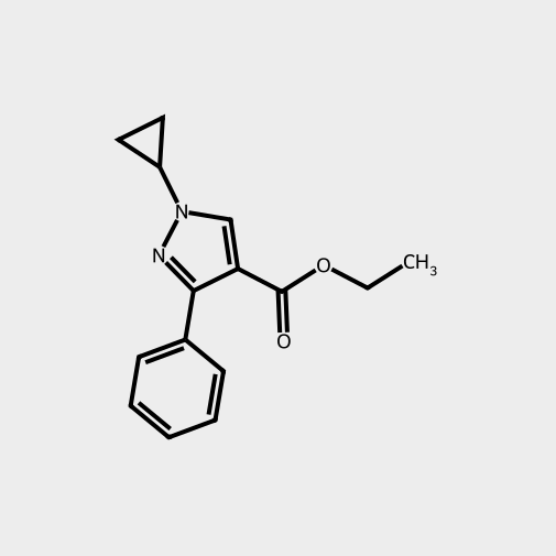 CCOC(=O)c1cn(C2CC2)nc1-c1ccccc1